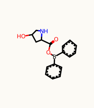 O=C(OB(c1ccccc1)c1ccccc1)C1CC(O)CN1